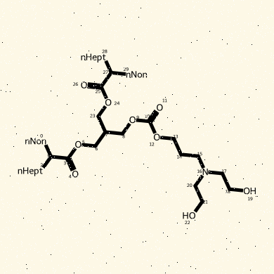 CCCCCCCCCC(CCCCCCC)C(=O)OCC(COC(=O)OCCCN(CCO)CCO)COC(=O)C(CCCCCCC)CCCCCCCCC